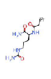 CC(C)CC(=O)NC(CCCNC(N)=O)C(N)=O